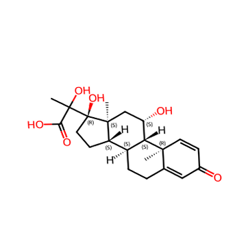 CC(O)(C(=O)O)[C@@]1(O)CC[C@H]2[C@@H]3CCC4=CC(=O)C=C[C@]4(C)[C@H]3[C@@H](O)C[C@@]21C